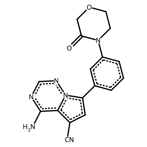 N#Cc1cc(-c2cccc(N3CCOCC3=O)c2)n2ncnc(N)c12